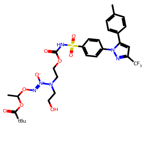 Cc1ccc(-c2cc(C(F)(F)F)nn2-c2ccc(S(=O)(=O)NC(=O)OCCN(CCO)[N+]([O-])=NOC(C)OC(=O)C(C)(C)C)cc2)cc1